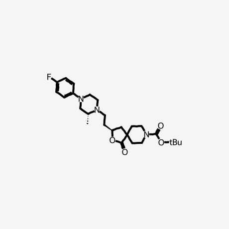 C[C@@H]1CN(c2ccc(F)cc2)CCN1CC[C@H]1CC2(CCN(C(=O)OC(C)(C)C)CC2)C(=O)O1